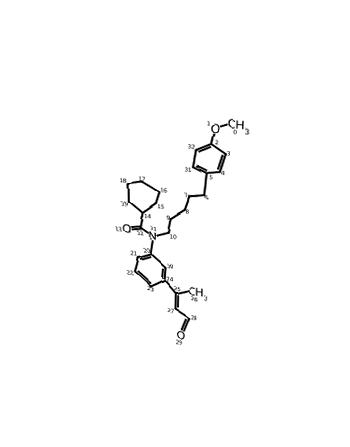 COc1ccc(CCCCCN(C(=O)C2CCCCC2)c2cccc(/C(C)=C/C=O)c2)cc1